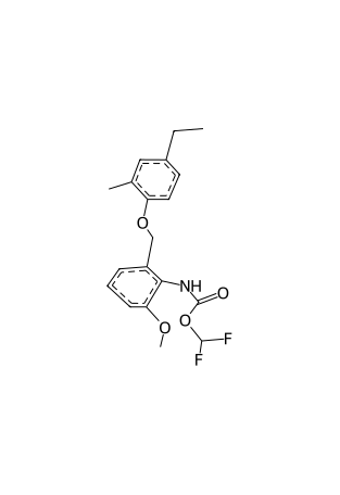 CCc1ccc(OCc2cccc(OC)c2NC(=O)OC(F)F)c(C)c1